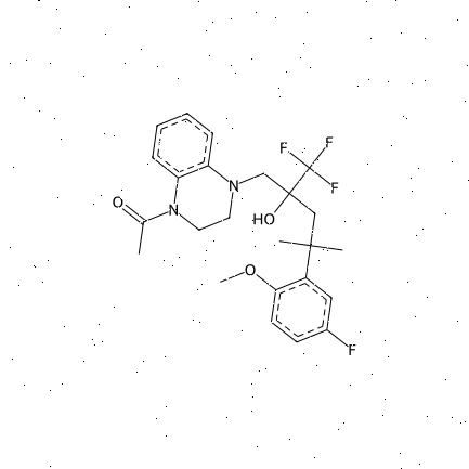 COc1ccc(F)cc1C(C)(C)CC(O)(CN1CCN(C(C)=O)c2ccccc21)C(F)(F)F